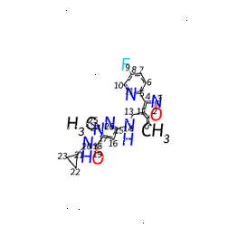 Cc1onc(-c2ccc(F)cn2)c1CNc1cc(C(=O)NC2CC2)n(C)n1